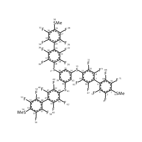 CSc1c(F)c(F)c(-c2c(F)c(F)c(Sc3cc(Sc4c(F)c(F)c(-c5c(F)c(F)c(SC)c(F)c5F)c(F)c4F)cc(Sc4c(F)c(F)c(-c5c(F)c(F)c(SC)c(F)c5F)c(F)c4F)c3)c(F)c2F)c(F)c1F